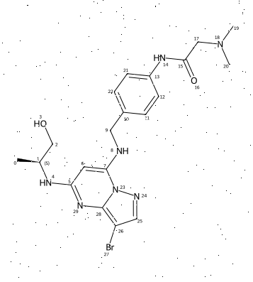 C[C@@H](CO)Nc1cc(NCc2ccc(NC(=O)CN(C)C)cc2)n2ncc(Br)c2n1